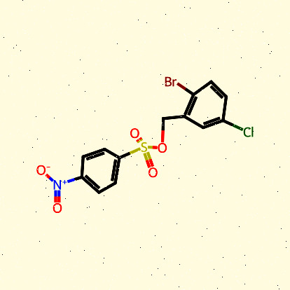 O=[N+]([O-])c1ccc(S(=O)(=O)OCc2cc(Cl)ccc2Br)cc1